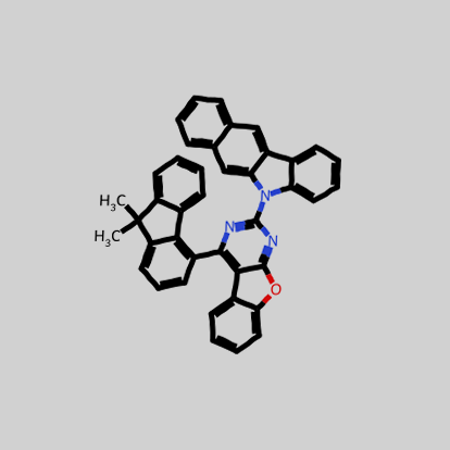 CC1(C)c2ccccc2-c2c(-c3nc(-n4c5ccccc5c5cc6ccccc6cc54)nc4oc5ccccc5c34)cccc21